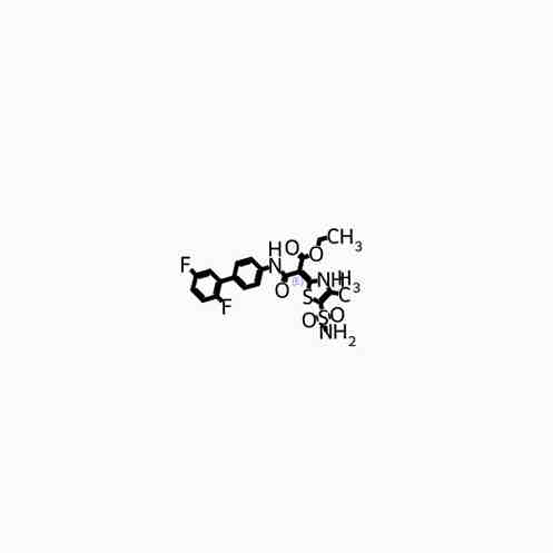 CCOC(=O)/C(C(=O)Nc1ccc(-c2cc(F)ccc2F)cc1)=C1\NC(C)=C(S(N)(=O)=O)S1